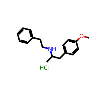 COc1ccc(CC(C)NCCc2ccccc2)cc1.Cl